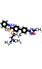 Cc1nc(-c2ccc(-c3ccc(C(=O)Nc4ccccc4Cl)c(OCCN(C)C)c3)c(C)c2)no1